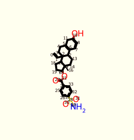 C=CC12CCC3=C(C=C=C(O)C3)C1CC[C@@]1(C)C2CC[C@@H]1OC(=O)c1ccc(S(N)(=O)=O)cc1